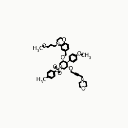 COCCCN1CCOc2ccc(CO[C@H]3CN(S(=O)(=O)c4ccc(C)cc4)C[C@@H](OCC#CCN4CCOCC4)[C@@H]3c3ccc(OC)cc3)cc21